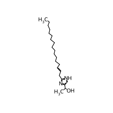 CCCCCCCCCCCCCCC=CCc1nc(C(C)O)c[nH]1